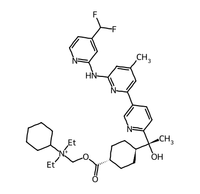 CC[N+](CC)(COC(=O)[C@H]1CC[C@H]([C@@](C)(O)c2ccc(-c3cc(C)cc(Nc4cc(C(F)F)ccn4)n3)cn2)CC1)C1CCCCC1